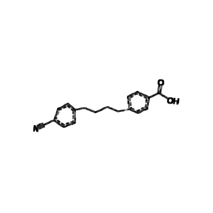 N#Cc1ccc(CCCCc2ccc(C(=O)O)cc2)cc1